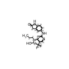 CCCN(CO)c1nc(Nc2ccc3c(c2)CC(=O)N3)ncc1C(F)(F)F